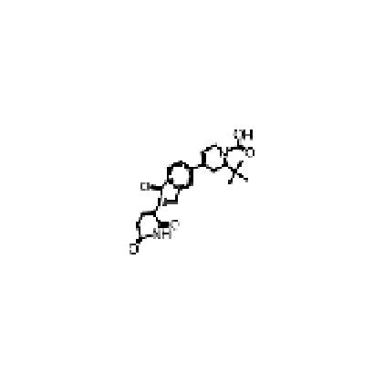 CC(C)(C)C1CC(c2ccc3c(c2)CN(C2CCC(=O)NC2=O)C3=O)=CCN1C(=O)O